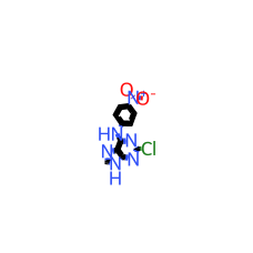 O=[N+]([O-])c1ccc(Nc2nc(Cl)nc3[nH]cnc23)cc1